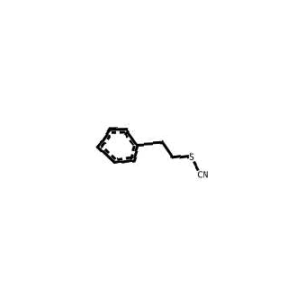 N#CSCCc1ccccc1